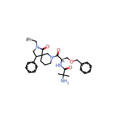 CC(C)CN1CC(c2ccccc2)C2(CCCN(C(=O)[C@@H](COCc3ccccc3)NC(=O)C(C)(C)N)C2)C1=O